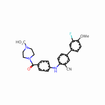 COc1ccc(-c2ccc(Nc3ccc(C(=O)N4CCN(C(=O)O)CC4)cc3)c(C#N)c2)cc1F